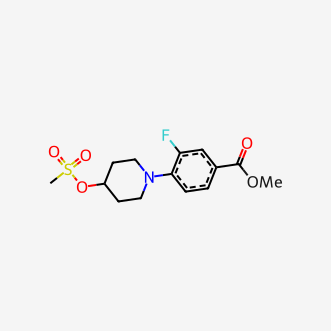 COC(=O)c1ccc(N2CCC(OS(C)(=O)=O)CC2)c(F)c1